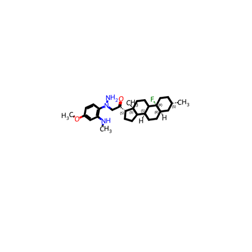 CNc1cc(OC)ccc1N(N)CC(=O)[C@H]1CCC2[C@@H]3CC[C@@H]4C[C@@H](C)CC[C@]4(F)C3CC[C@@]21C